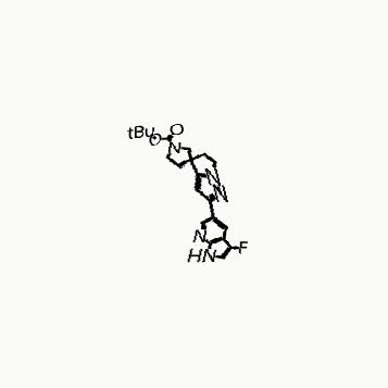 CC(C)(C)OC(=O)N1CCC2(CCn3nc(-c4cnc5[nH]cc(F)c5c4)cc32)C1